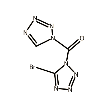 O=C(n1cnnn1)n1nnnc1Br